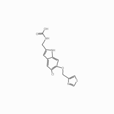 O=C(O)NCc1cc2cc(Cl)c(OCc3cscn3)cc2[nH]1